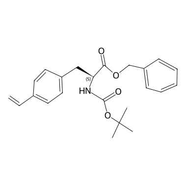 C=Cc1ccc(C[C@H](NC(=O)OC(C)(C)C)C(=O)OCc2ccccc2)cc1